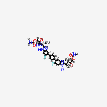 CN(C)C(=O)OC(C)(C(=O)C[C@H](c1nc2cc(-c3ccc(-c4cc5nc([C@@H](NC(=O)C(C)(OC(=O)N(C)C)C(C)(C)C)C(C)(C)C)[nH]c5cc4F)cc3)c(F)cc2[nH]1)C(C)(C)C)C(C)(C)C